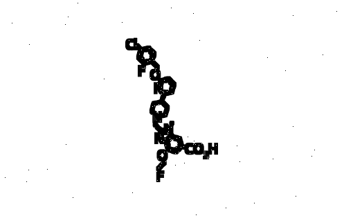 Cn1c(CN2CCC(c3cccc(OCc4ccc(Cl)cc4F)n3)CC2)nc2c(OCCF)cc(C(=O)O)cc21